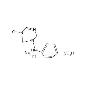 O=S(=O)(O)c1ccc(NN2CN=CN(Cl)C2)cc1.[Na][Cl]